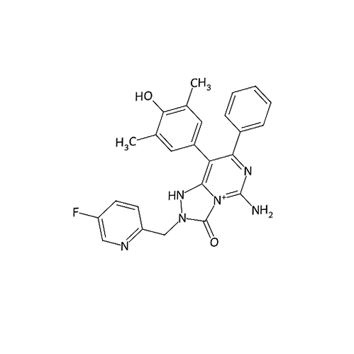 Cc1cc(-c2c(-c3ccccc3)nc(N)[n+]3c(=O)n(Cc4ccc(F)cn4)[nH]c23)cc(C)c1O